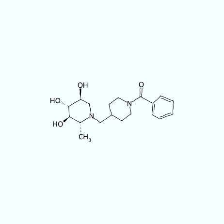 C[C@@H]1[C@@H](O)[C@H](O)[C@@H](O)CN1CC1CCN(C(=O)c2ccccc2)CC1